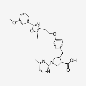 COc1cccc(-c2nc(CCOc3ccc(C[C@@H]4CN(c5nccc(C)n5)C[C@@H]4C(=O)O)cc3)c(C)o2)c1